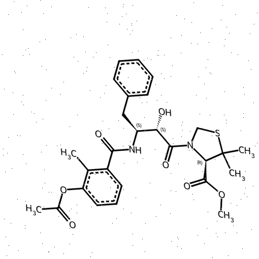 COC(=O)[C@H]1N(C(=O)[C@@H](O)[C@H](Cc2ccccc2)NC(=O)c2cccc(OC(C)=O)c2C)CSC1(C)C